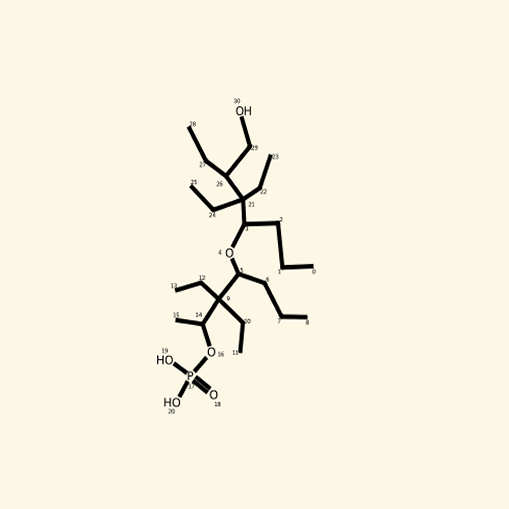 CCCC(OC(CCC)C(CC)(CC)C(C)OP(=O)(O)O)C(CC)(CC)C(CC)CO